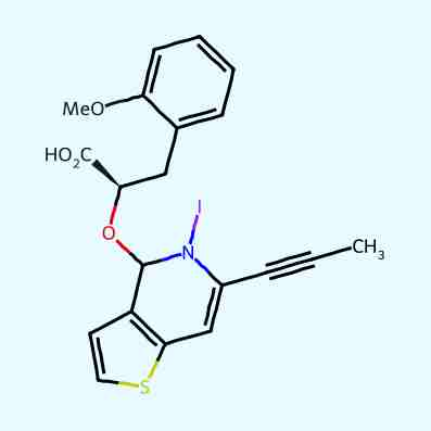 CC#CC1=Cc2sccc2C(O[C@H](Cc2ccccc2OC)C(=O)O)N1I